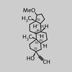 C#C[C@]1(O)CC[C@@]2(C)[C@@H](CC[C@@H]3[C@@H]2CC[C@]2(C)C(OC)CC[C@@H]32)C1